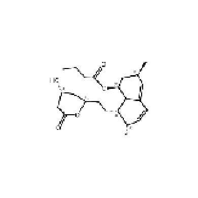 CCCC(=O)O[C@H]1C[C@@H](C)C=C2C=C[C@H](C)[C@H](CC[C@@H]3C[C@@H](O)CC(=O)O3)C21